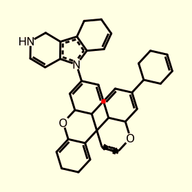 C1=Cc2c(c3c(n2C2=CC4OC5=CCCC=C5C5(c6ccccc6OC6C=C(C7CC=CCC7)C=CC65)C4C=C2)C=CNC3)CC1